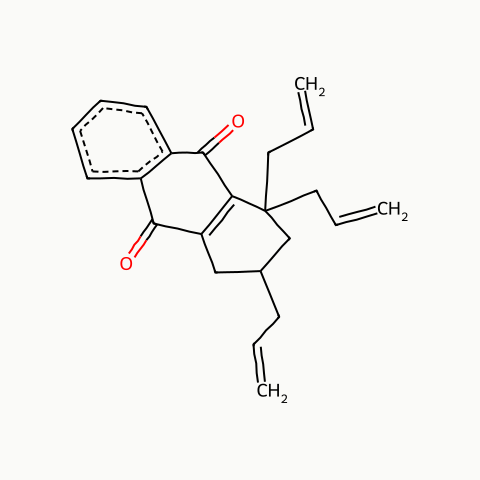 C=CCC1CC2=C(C(=O)c3ccccc3C2=O)C(CC=C)(CC=C)C1